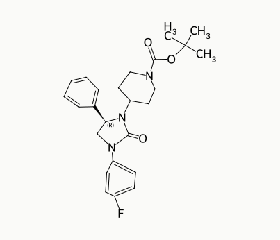 CC(C)(C)OC(=O)N1CCC(N2C(=O)N(c3ccc(F)cc3)C[C@H]2c2ccccc2)CC1